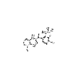 O=C(Nc1cccc(Cl)c1Cl)Nc1cnc(Br)c2c1NS(=O)(=O)C2